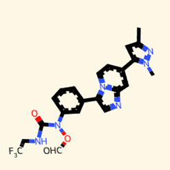 Cc1cc(-c2ccn3c(-c4cccc(N(OC=O)C(=O)NCC(F)(F)F)c4)cnc3c2)n(C)n1